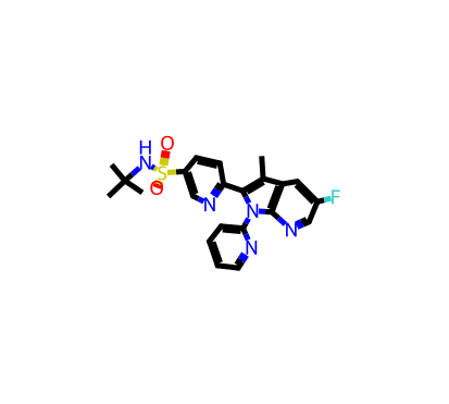 Cc1c(-c2ccc(S(=O)(=O)NC(C)(C)C)cn2)n(-c2ccccn2)c2ncc(F)cc12